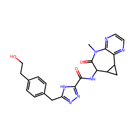 CN1C(=O)C(NC(=O)c2nnc(Cc3ccc(CCO)cc3)[nH]2)C2CC2c2nccnc21